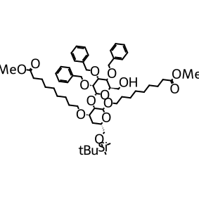 COC(=O)CCCCCCCCO[C@H]1O[C@H](CO[Si](C)(C)C(C)(C)C)C[C@H](OCCCCCCCCC(=O)OC)[C@H]1O[C@@H]1O[C@H](CO)[C@@H](OCc2ccccc2)[C@H](OCc2ccccc2)[C@H]1OCc1ccccc1